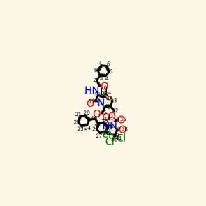 O=C(Cc1ccccc1)N[C@@H]1C(=O)N2C(C(=O)OC(c3ccccc3)c3ccccc3)=C(COC(=O)NC(=O)C(Cl)(Cl)Cl)CS[C@H]12